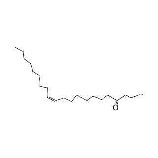 [CH2]CCC(=O)CCCCCCC/C=C\CCCCCCCC